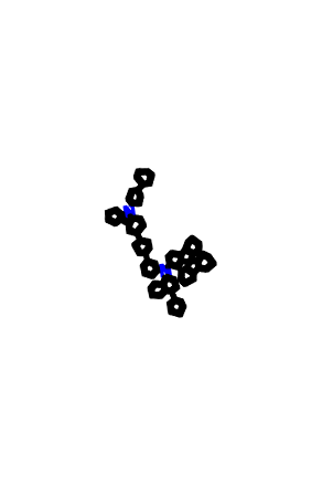 c1ccc(-c2ccc(-n3c4ccccc4c4cc(-c5ccc(-c6cccc(N(c7ccc8c(c7)C7(c9ccccc9-c9ccccc97)c7ccccc7-8)c7ccc(-c8ccccc8)c8ccccc78)c6)cc5)ccc43)cc2)cc1